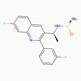 C[C@H](N[S@+]([O-])C(C)(C)C)c1cc2ccc(F)cc2nc1-c1cccc(F)c1